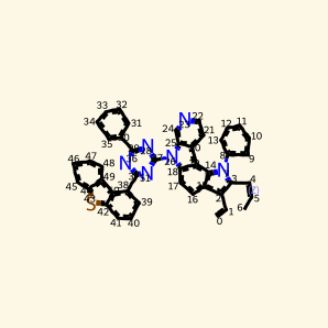 C=Cc1c(/C=C\C)n(-c2ccccc2)c2c1ccc1c2c2ccncc2n1-c1nc(-c2ccccc2)nc(-c2cccc3sc4ccccc4c23)n1